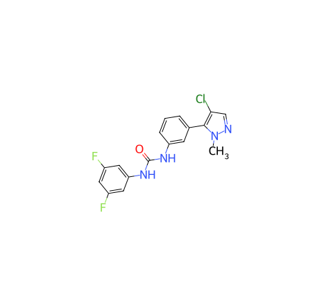 Cn1ncc(Cl)c1-c1cccc(NC(=O)Nc2cc(F)cc(F)c2)c1